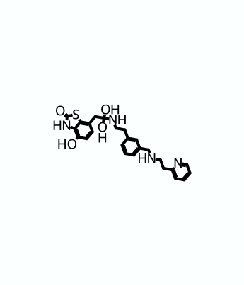 O=c1[nH]c2c(O)ccc(CC(O)(O)NCCc3cccc(CNCCc4ccccn4)c3)c2s1